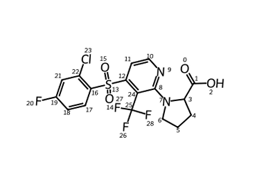 O=C(O)C1CCCN1c1nccc(S(=O)(=O)c2ccc(F)cc2Cl)c1C(F)(F)F